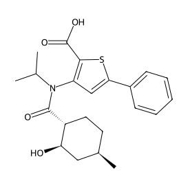 CC(C)N(C(=O)[C@@H]1CC[C@@H](C)C[C@H]1O)c1cc(-c2ccccc2)sc1C(=O)O